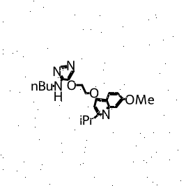 CCCCNc1ncncc1OCCOc1cc(C(C)C)nc2cc(OC)ccc12